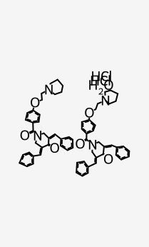 Cl.Cl.O.O=C1C(=Cc2ccccc2)CN(C(=O)c2ccc(OCCN3CCCCC3)cc2)CC1=Cc1ccccc1.O=C1C(=Cc2ccccc2)CN(C(=O)c2ccc(OCCN3CCCCC3)cc2)CC1=Cc1ccccc1